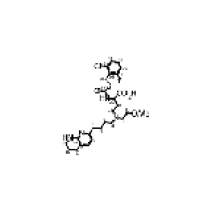 COCCN(CCCCc1ccc2c(n1)NCCC2)CCC(NC(=O)OCc1c(F)cccc1Cl)C(=O)O